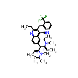 C=C(C)N(C)/C(=C\C)C(/C(=C/C)N(C)CC)c1ccc2nc(CC)c(Cc3ccccc3C(F)(F)F)c(C#N)c2c1